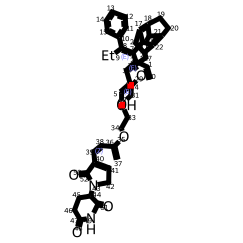 C=CC(=C\C=C\O)/C(=C(\CC)c1ccccc1)C1C2=C3CCC(=C1CC2)C3OCCOCCOCCOC(=C)/C=C\C1=CCN(C2CCC(=O)NC2=O)C1=O